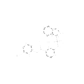 CC(C)c1cncc(CC(C)c2ccnc(CC(C)(C)c3noc4ccccc34)n2)n1